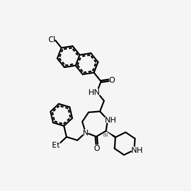 CCC(CN1CCC(CNC(=O)c2ccc3cc(Cl)ccc3c2)N[C@@H](C2CCNCC2)C1=O)c1ccccc1